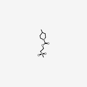 CC1CCN(C(=O)OCCS(C)(=O)=O)CC1